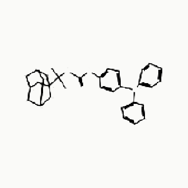 CC(C)(OC(=O)Oc1ccc([S+](c2ccccc2)c2ccccc2)cc1)C12CC3CC(CC(C3)C1)C2